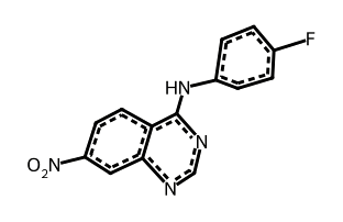 O=[N+]([O-])c1ccc2c(Nc3ccc(F)cc3)ncnc2c1